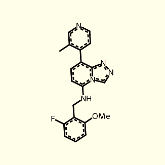 COc1cccc(F)c1CNc1ccc(-c2ccncc2C)c2nncn12